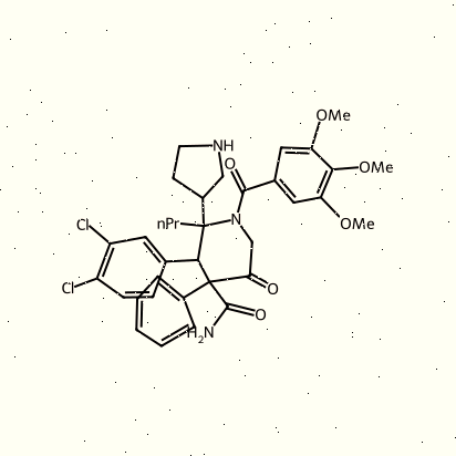 CCCC1(C2CCNC2)C(c2ccc(Cl)c(Cl)c2)C(C(N)=O)(c2ccccc2)C(=O)CN1C(=O)c1cc(OC)c(OC)c(OC)c1